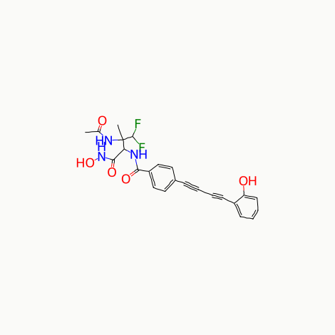 CC(=O)NC(C)(C(F)F)C(NC(=O)c1ccc(C#CC#Cc2ccccc2O)cc1)C(=O)NO